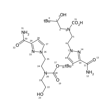 CC(C)(C)C(O)CN(CCn1ccc(C(N)=O)n1)C(=O)O.CC(C)(C)OC(=O)N(CCO)CCn1ccc(C(N)=O)n1